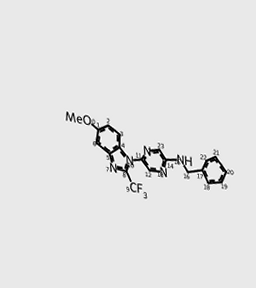 COc1ccc2c(c1)nc(C(F)(F)F)n2-c1cnc(NCc2ccccc2)cn1